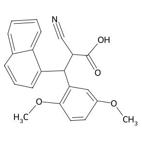 COc1ccc(OC)c(C(c2cccc3ccccc23)C(C#N)C(=O)O)c1